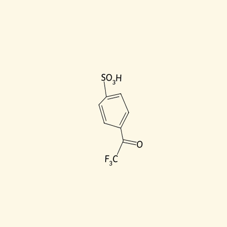 O=C(c1ccc(S(=O)(=O)O)cc1)C(F)(F)F